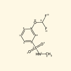 CNS(=O)(=O)c1cccc(OC(F)F)c1